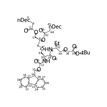 CCCCCCCCCCCC(=O)OC[C@H](CSC[C@H](NC(=O)OCC1c2ccccc2-c2ccccc21)C(=O)N[C@@H](CC)COCC(=O)OC(C)(C)C)OC(=O)CCCCCCCCCCC